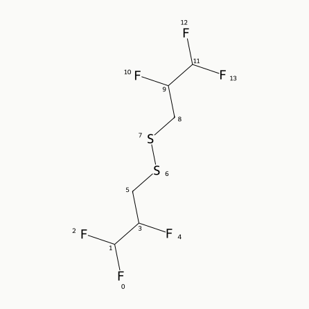 FC(F)C(F)CSSCC(F)C(F)F